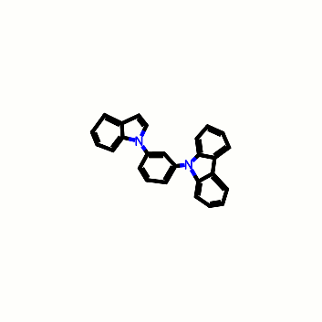 c1cc(-n2ccc3ccccc32)cc(-n2c3ccccc3c3ccccc32)c1